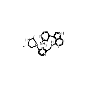 C[C@@H]1CN(c2ccnc(CNc3ncnc4[nH]cc(-c5ccnc(N)c5)c34)n2)C[C@H](C)N1